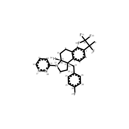 CC(F)(c1ccc2c(c1)CC[C@H]1N(c3cccnn3)CC[C@@]21Cc1ccc(F)cc1)C(F)(F)F